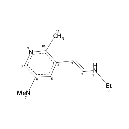 CCN/C=C/c1cc(NC)cnc1C